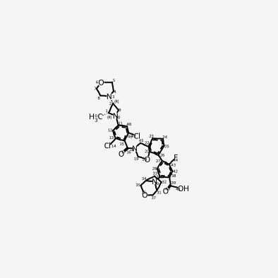 C[C@@H]1[C@H](N2CCOCC2)CN1c1cc(Cl)c(C(=O)N2COc3c(cccc3-c3cc(N4C5CCC4COC5)c(C(=O)O)cc3F)C2)c(Cl)c1